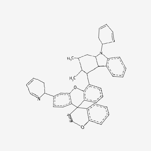 CC1CC2C(c3ccccc3N2C2C=CC=CC2)C(c2cccc3c2Oc2cc(C4CC=CC=N4)ccc2C32c3ccccc3Oc3ccccc32)C1C